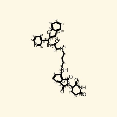 CN(CCCCNc1cccc2c1C(=O)N(C1CCC(=O)NC1=O)C2=O)CC(=O)NC(c1cccnc1)c1cc2ccccc2o1